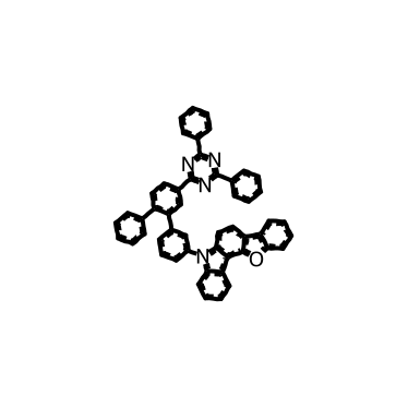 c1ccc(-c2nc(-c3ccccc3)nc(-c3ccc(-c4ccccc4)c(-c4cccc(-n5c6ccccc6c6c7oc8ccccc8c7ccc65)c4)c3)n2)cc1